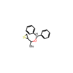 CC(C)(C)C(O[SiH](c1ccccc1)c1ccccc1)C1CS1